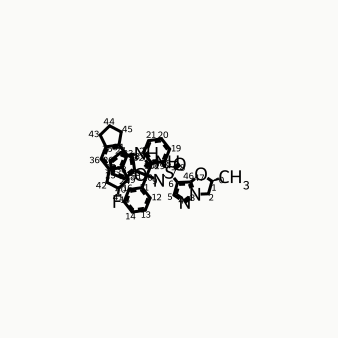 C[C@H]1Cn2ncc(S(=O)(=NC(c3ccccc3)(c3ccccc3)c3ccccc3)NC(=O)Nc3c4c(cc5c3C[C@@H](F)C5)CCC4)c2O1